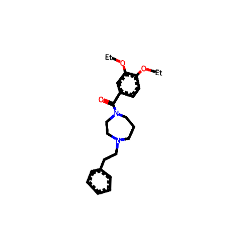 CCOc1ccc(C(=O)N2CCCN(CCc3ccccc3)CC2)cc1OCC